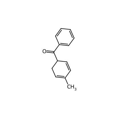 CC1=CCC(C(=O)c2ccccc2)C=C1